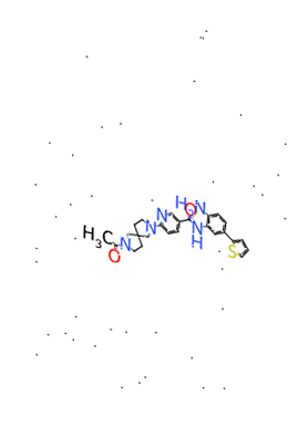 CC(=O)N1CCC2(CCN(c3ccc(C(=O)Nc4cc(-c5cccs5)ccc4N)cn3)C2)C1